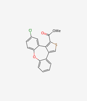 COC(=O)c1scc2c1-c1cc(Cl)ccc1Oc1ccccc1-2